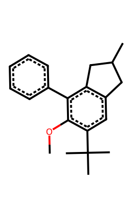 COc1c(C(C)(C)C)cc2c(c1-c1ccccc1)CC(C)C2